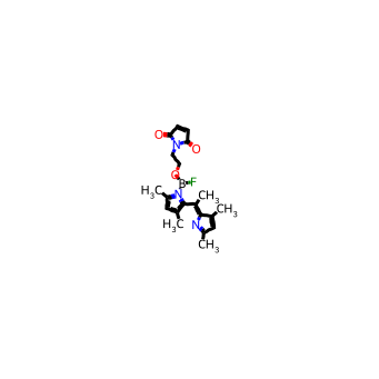 CC1=CC(C)=N/C1=C(/C)c1c(C)cc(C)n1B(F)OCCN1C(=O)C=CC1=O